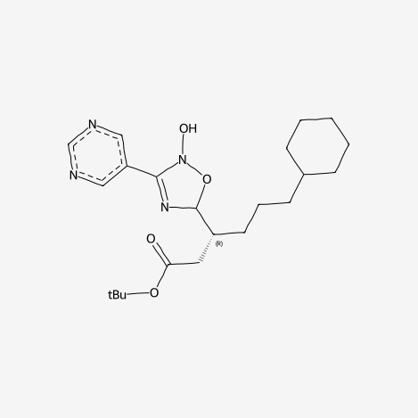 CC(C)(C)OC(=O)C[C@@H](CCCC1CCCCC1)C1N=C(c2cncnc2)N(O)O1